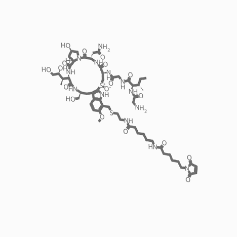 CC[C@H](C)[C@@H](NC(=O)CN)C(=O)NCC(=O)N[C@H]1C[S+]([O-])c2[nH]c3c(CSCCNC(=O)CCCCCNC(=O)CCCCCN4C(=O)C=CC4=O)c(OC)ccc3c2C[C@@H](CO)NC(=O)[C@H]([C@@H](C)[C@@H](O)CO)NC(=O)[C@H]2C[C@@H](O)CN2C(=O)[C@H](CC(N)=O)NC1=O